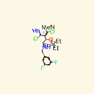 CC[Si](CC)(CC)OC(CNCc1cc(F)cc(F)c1)/C(C(=N)Cl)=C(\Cl)NC